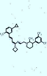 Cc1ccc(C2CC2)cc1/C=C/C=C(\N=C\CN1CCCC(c2cc(C(F)(F)F)cc(C(F)(F)F)c2)C1C)N1CCC1